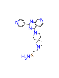 NSCCN1CCC2(CCN(c3nc(-c4ccncc4)nc4cnccc34)CC2)C1